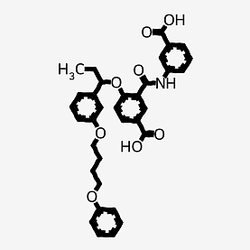 CCC(Oc1ccc(C(=O)O)cc1C(=O)Nc1cccc(C(=O)O)c1)c1cccc(OCCCCOc2ccccc2)c1